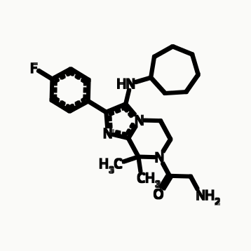 CC1(C)c2nc(-c3ccc(F)cc3)c(NC3CCCCCC3)n2CCN1C(=O)CN